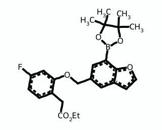 CCOC(=O)Cc1ccc(F)cc1OCc1cc(B2OC(C)(C)C(C)(C)O2)c2occc2c1